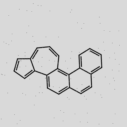 c1cc2cccc3c(ccc4ccc5ccccc5c43)c-2c1